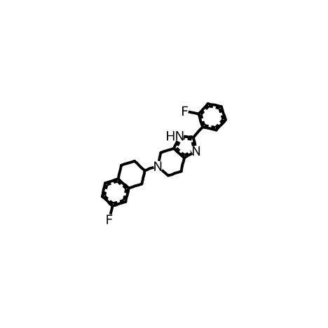 Fc1ccc2c(c1)CC(N1CCc3nc(-c4ccccc4F)[nH]c3C1)CC2